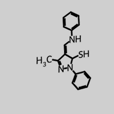 CC1=NN(c2ccccc2)C(S)C1=CNc1ccccc1